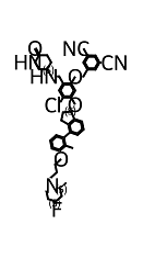 Cc1c(OCCCN2CC[C@H](F)C[C@@H]2C)cccc1-c1cccc2c1CC[C@@H]2Oc1cc(OCc2cc(C#N)cc(C#N)c2)c(CN[C@H]2CCC(=O)NC2)cc1Cl